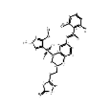 CCOc1nn(CC)cc1S(=O)(=O)N1C[C@H](CCc2n[nH]c(=O)o2)Oc2ccc(/C=C(\C)c3c(F)cccc3Cl)cc21